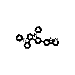 c1ccc(-n2c3ccccc3c3c4c5ccc(-c6ccc7c(c6)sc6ncccc67)cc5n(-c5ccccc5)c4ccc32)cc1